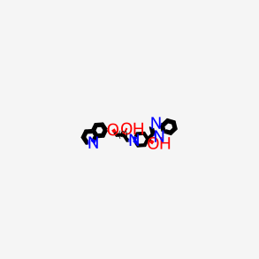 O[C@H](COc1ccc2cccnc2c1)CN1CCC(O)(c2cnc3ccccc3n2)CC1